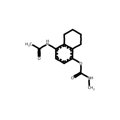 CNC(=O)Oc1ccc(NC(C)=O)c2c1CCCC2